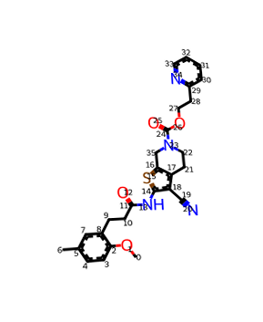 COc1ccc(C)cc1CCC(=O)Nc1sc2c(c1C#N)CCN(C(=O)OCCc1ccccn1)C2